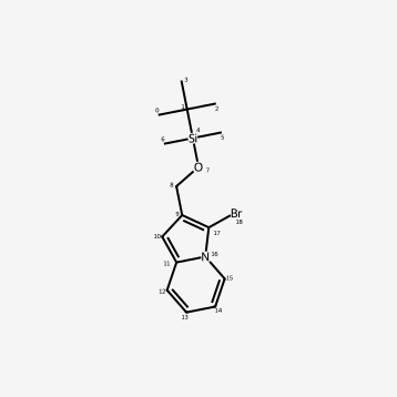 CC(C)(C)[Si](C)(C)OCc1cc2ccccn2c1Br